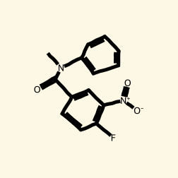 CN(C(=O)c1ccc(F)c([N+](=O)[O-])c1)c1ccccc1